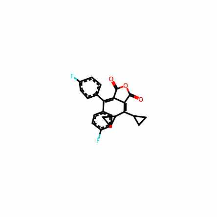 O=C1OC(=O)C(=C(C2CC2)C2CC2)C1=C(c1ccc(F)cc1)c1ccc(F)cc1